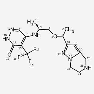 CC(OC[C@H](C)Nc1cn[nH]c(=O)c1C(F)(F)F)c1cc2n(n1)CCNC2